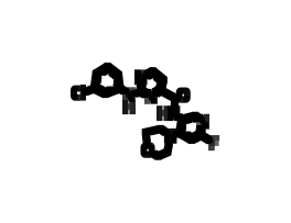 O=C(Nc1cnc(F)cc1N1CCOCC1)c1ccnc(Nc2cccc(Cl)c2)n1